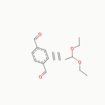 C=C.C=C.CCOC(C)OCC.O=Cc1ccc(C=O)cc1